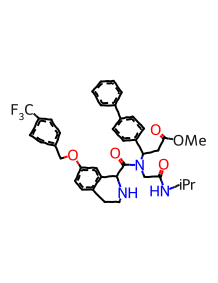 COC(=O)CC(c1ccc(-c2ccccc2)cc1)N(CC(=O)NC(C)C)C(=O)C1NCCc2ccc(OCc3ccc(C(F)(F)F)cc3)cc21